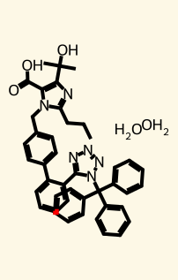 CCCc1nc(C(C)(C)O)c(C(=O)O)n1Cc1ccc(-c2ccccc2-c2nnnn2C(c2ccccc2)(c2ccccc2)c2ccccc2)cc1.O.O